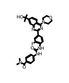 CN(C)C(=O)c1ccc(NC(=O)Nc2ccc(-c3nc(N4CCOCC4)c4ccc(C(C)(C)O)cc4n3)cc2F)cc1